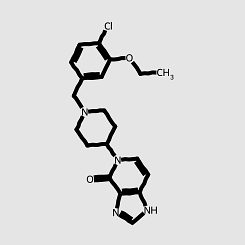 CCOc1cc(CN2CCC(n3ccc4[nH]cnc4c3=O)CC2)ccc1Cl